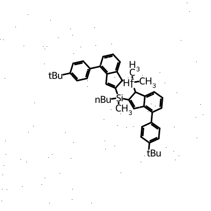 CCCC[Si]1(C)C2=Cc3c(-c4ccc(C(C)(C)C)cc4)cccc3[CH]2[Hf]([CH3])([CH3])[CH]2C1=Cc1c(-c3ccc(C(C)(C)C)cc3)cccc12